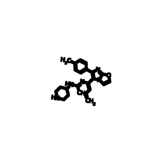 C=C/C=C(\N=C(/C)NC1CCNCC1)c1c(-c2ccc(C)cc2)nc2occn12